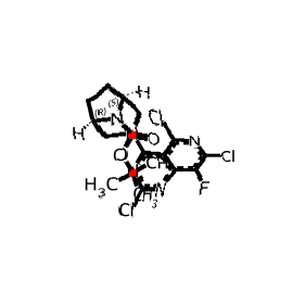 CC(C)(C)OC(=O)N1[C@@H]2CC[C@H]1CN(c1nc(Cl)nc3c(F)c(Cl)nc(Cl)c13)C2